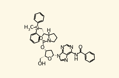 C[Si](C[C@H]1O[P@](O[C@@H]2C[C@H](n3cnc4c(NC(=O)c5ccccc5)ncnc43)O[C@@H]2CO)N2CCC[C@@H]12)(c1ccccc1)c1ccccc1